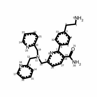 NCCc1ccc(-c2nc(CN(Cc3ccccn3)Cc3ccccn3)ccc2C(N)=O)cc1